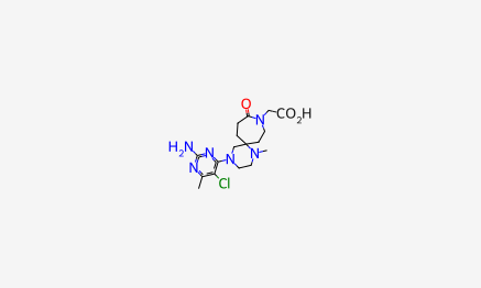 Cc1nc(N)nc(N2CCN(C)C3(CCC(=O)N(CC(=O)O)CC3)C2)c1Cl